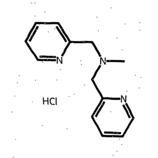 CN(Cc1ccccn1)Cc1ccccn1.Cl